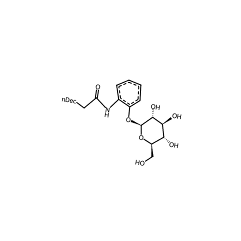 CCCCCCCCCCCC(=O)Nc1ccccc1O[C@@H]1O[C@H](CO)[C@@H](O)[C@H](O)[C@H]1O